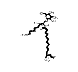 C=C(CCF)CCCCCCCCCCC(=O)N[C@@H](COC1OC(CO)C(O)C(O)C1O)[C@H](O)CCCCCCCCCCCCCCC